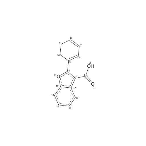 O=C(O)c1c(C2=CC=CCC2)oc2ccccc12